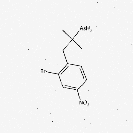 CC(C)([AsH2])Cc1ccc([N+](=O)[O-])cc1Br